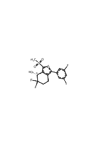 CS(=O)(=O)c1sc(-c2cc(F)cc(F)c2)c2c1[C@@H](O)C(F)(F)CC2